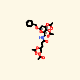 CC(=O)OCC(CCC(=O)NC[C@H]1O[C@H](OCc2ccccc2)[CH][C@@H](OC(C)=O)[C@@H]1OC(C)=O)OC(C)=O